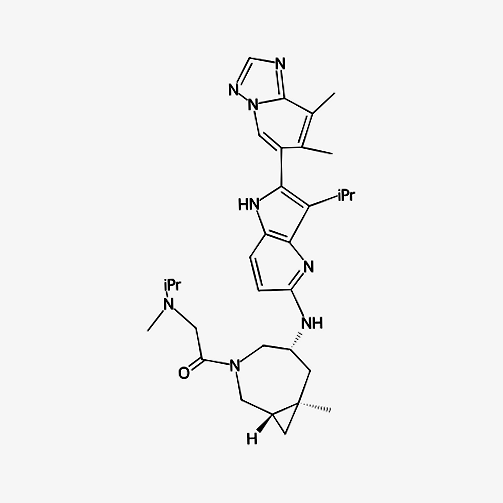 Cc1c(-c2[nH]c3ccc(N[C@H]4CN(C(=O)CN(C)C(C)C)C[C@H]5C[C@]5(C)C4)nc3c2C(C)C)cn2ncnc2c1C